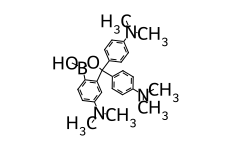 CN(C)c1ccc(C2(c3ccc(N(C)C)cc3)OB(O)c3ccc(N(C)C)cc32)cc1